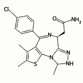 Cc1sc2c(c1C)C(c1ccc(Cl)cc1)=N[C@@H](CC(N)=O)C1=NNC(C)N12